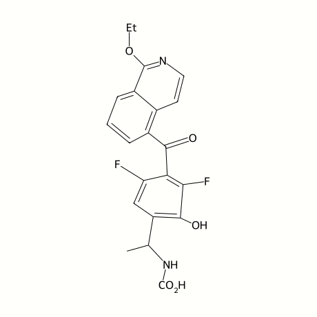 CCOc1nccc2c(C(=O)c3c(F)cc(C(C)NC(=O)O)c(O)c3F)cccc12